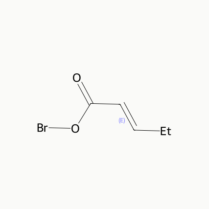 CC/C=C/C(=O)OBr